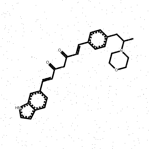 CC(Cc1ccc(/C=C/C(=O)CC(=O)/C=C/c2ccc3cc[nH]c3c2)cc1)N1CCOCC1